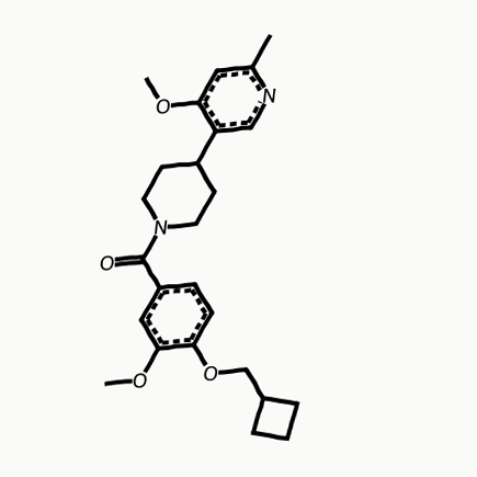 COc1cc(C(=O)N2CCC(c3cnc(C)cc3OC)CC2)ccc1OCC1CCC1